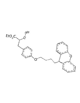 CCCOC(Cc1ccc(OCCCCC2c3ccccc3Oc3ccccc32)cc1)C(=O)OCC